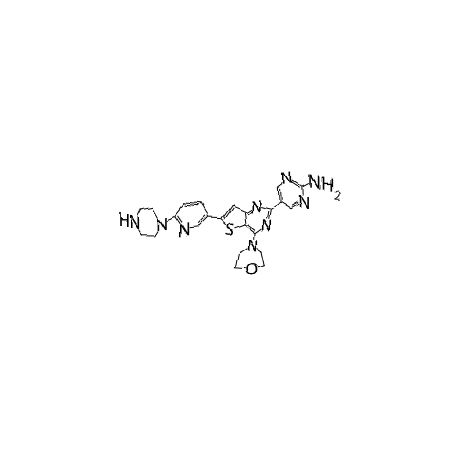 Nc1ncc(-c2nc(N3CCOCC3)c3sc(-c4ccc(N5CCNCC5)nc4)cc3n2)cn1